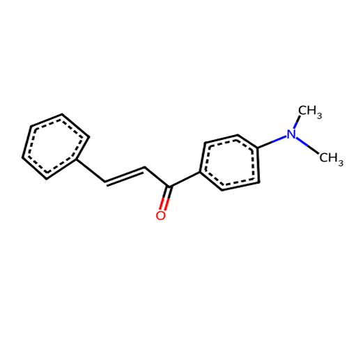 CN(C)c1ccc(C(=O)C=Cc2ccccc2)cc1